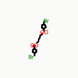 O=C(OCCCCCCOC(=O)c1ccc(CBr)cc1)c1ccc(CBr)cc1